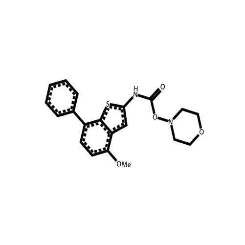 COc1ccc(-c2ccccc2)c2sc(NC(=O)ON3CCOCC3)cc12